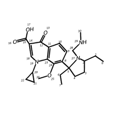 CCC1CCC(CC)(c2ccc3c(=O)c(C(=O)O)cn(C4CC4)c3c2OC)N1CNC